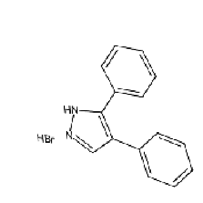 Br.c1ccc(-c2cn[nH]c2-c2ccccc2)cc1